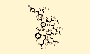 CCC[C@H](NC(=O)[C@@H]1C[C@@H](NC(=O)c2ccc(F)cc2)CN1C(=O)[C@@H](NC(=O)[C@@H](NC(=O)[C@H](CCC(=O)O)NC(=O)[C@H](CCC(=O)O)NC(C)=O)C(C)C)C(C)C)C(=O)C(=O)NCC(=O)O